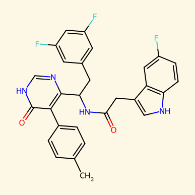 Cc1ccc(-c2c(C(Cc3cc(F)cc(F)c3)NC(=O)Cc3c[nH]c4ccc(F)cc34)nc[nH]c2=O)cc1